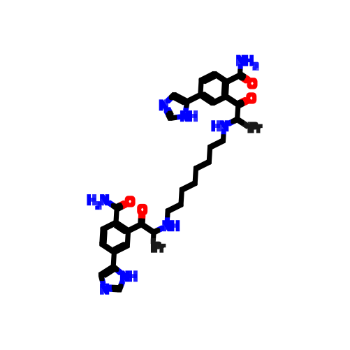 CC(C)C(NCCCCCCCCNC(C(=O)c1cc(-c2cnc[nH]2)ccc1C(N)=O)C(C)C)C(=O)c1cc(-c2cnc[nH]2)ccc1C(N)=O